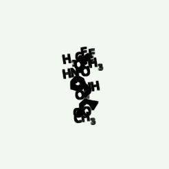 COC(=O)CC(C1CC1)[C@H]1CNc2cc(NC(=O)OC(C)(C)C(F)(F)F)ccc2O1